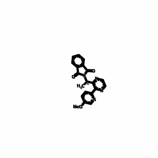 COc1ccc(-c2nccnc2[C@@H](C)N2C(=O)c3ccccc3C2=O)nc1